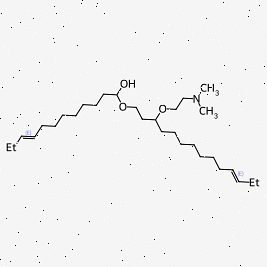 CC/C=C/CCCCCCCC(O)OCCC(CCCCCCC/C=C/CC)OCCN(C)C